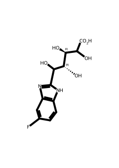 O=C(O)C(O)[C@H](O)[C@H](O)C(O)c1nc2cc(F)ccc2[nH]1